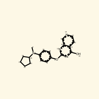 CN(c1ccc(Oc2nc(O)c3ccncc3n2)cc1)C1CCCC1